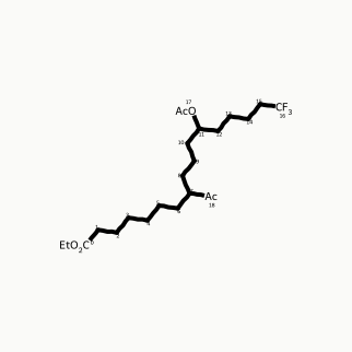 CCOC(=O)CCCCCCC(CCCC(CCCCC(F)(F)F)OC(C)=O)C(C)=O